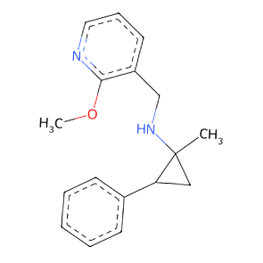 COc1ncccc1CNC1(C)CC1c1ccccc1